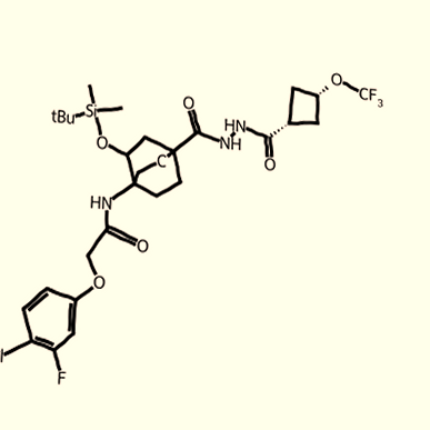 CC(C)(C)[Si](C)(C)OC1CC2(C(=O)NNC(=O)[C@H]3C[C@@H](OC(F)(F)F)C3)CCC1(NC(=O)COc1ccc(Cl)c(F)c1)CC2